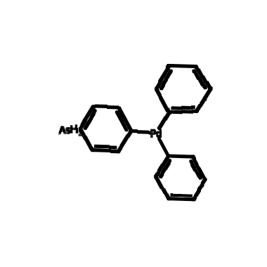 [AsH3].c1cc[c]([Pd]([c]2ccccc2)[c]2ccccc2)cc1